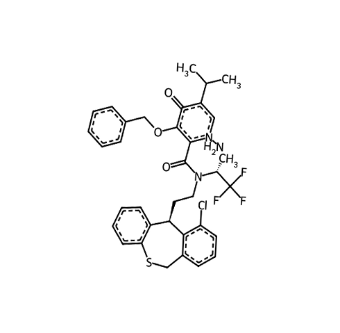 CC(C)c1cn(N)c(C(=O)N(CC[C@@H]2c3ccccc3SCc3cccc(Cl)c32)[C@H](C)C(F)(F)F)c(OCc2ccccc2)c1=O